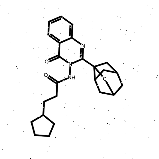 O=C(CCC1CCCC1)Nn1c(C23CC4CC(CC2C4)C3)nc2ccccc2c1=O